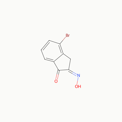 O=C1/C(=N\O)Cc2c(Br)cccc21